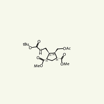 COC(=O)[C@H]1C[C@@H](C(=O)OC)[C@H](COC(C)=O)[C@@H]1CNC(=O)OC(C)(C)C